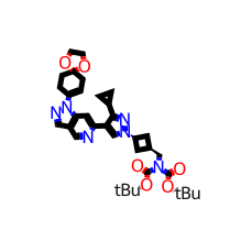 CC(C)(C)OC(=O)N(C[C@H]1C[C@H](n2cc(-c3cc4c(cn3)cnn4C3=CCC4(CC3)OCCO4)c(C3CC3)n2)C1)C(=O)OC(C)(C)C